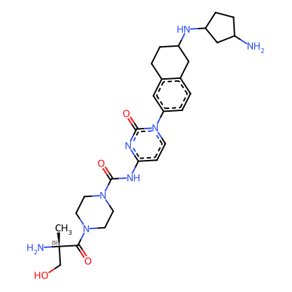 C[C@](N)(CO)C(=O)N1CCN(C(=O)Nc2ccn(-c3ccc4c(c3)CCC(NC3CCC(N)C3)C4)c(=O)n2)CC1